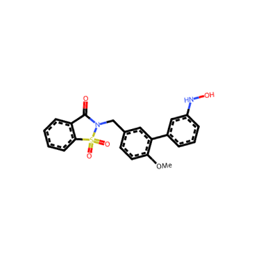 COc1ccc(CN2C(=O)c3ccccc3S2(=O)=O)cc1-c1cccc(NO)c1